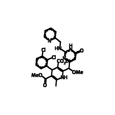 CCOC(=O)C1=C(C(OC)c2cc(=O)[nH]c(NCc3ccccn3)n2)NC(C)=C(C(=O)OC)C1c1cccc(Cl)c1Cl